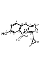 CS(=O)(=O)c1cc(O)ccc1Cc1cc(C2CC2)on1